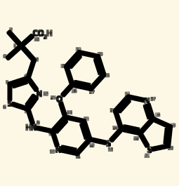 CC(C)(Cc1csc(Nc2ncc(Sc3ccnc4ccsc34)cc2Oc2ccccc2)n1)C(=O)O